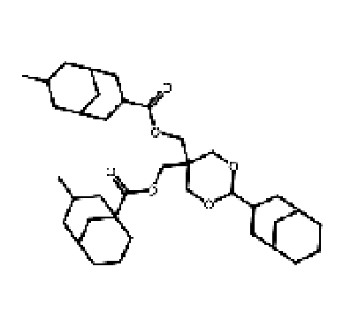 CC1CC2CC(C1)CC(C(=O)OCC1(COC(=O)C34CCCC(CC(C)C3)C4)COC(C3CC4CCCC(C4)C3)OC1)C2